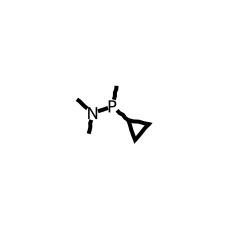 CN(C)P(C)C1CC1